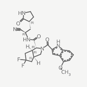 COc1cccc2[nH]c(C(=O)N3C[C@H]4CC(F)(F)C[C@H]4[C@@H]3C(=O)N[C@@H](C#N)C[C@H]3CCNC3=O)cc12